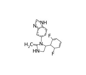 C=C1NCC(C2C(F)=CC=CC2F)N1c1ccc2[nH]cnc2c1